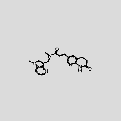 CN(Cc1cn(C)c2cccnc12)C(=O)/C=C/c1cnc2c(c1)CCC(=O)N2